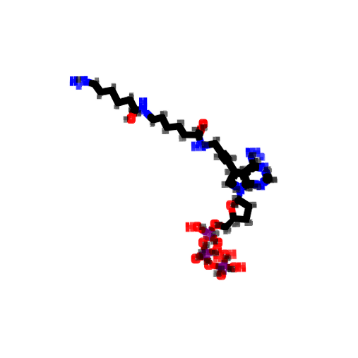 NCCCCCC(=O)NCCCCCC(=O)NCC#Cc1cn([C@H]2CC[C@@H](COP(=O)(O)OP(=O)(O)OP(=O)(O)O)O2)c2ncnc(N)c12